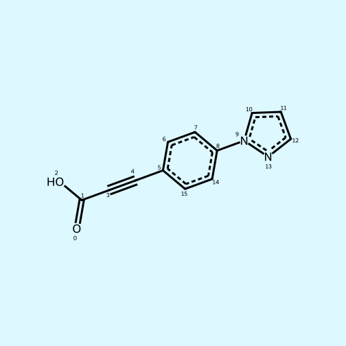 O=C(O)C#Cc1ccc(-n2cccn2)cc1